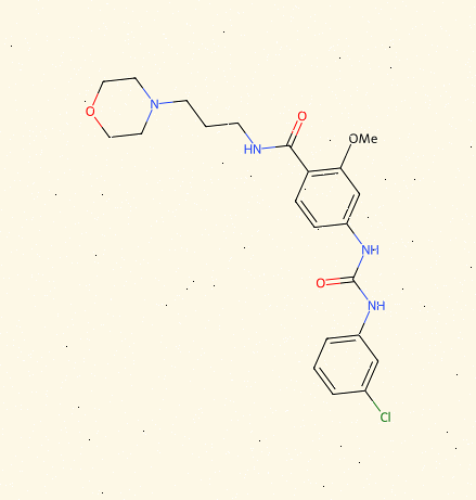 COc1cc(NC(=O)Nc2cccc(Cl)c2)ccc1C(=O)NCCCN1CCOCC1